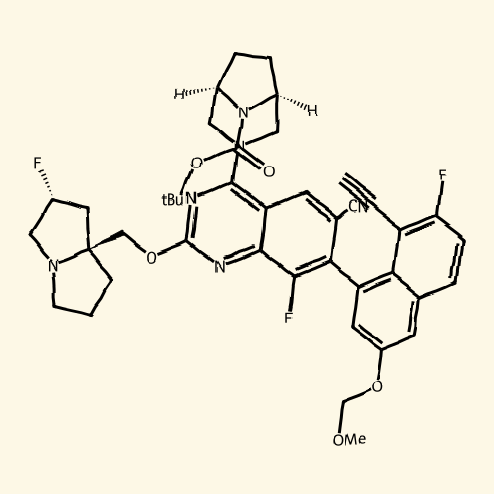 C#Cc1c(F)ccc2cc(OCOC)cc(-c3c(C#N)cc4c(N5C[C@H]6CC[C@@H](C5)N6C(=O)OC(C)(C)C)nc(OC[C@@]56CCCN5C[C@H](F)C6)nc4c3F)c12